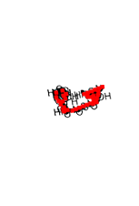 CC/N=c1/cc2oc3cc(NCC)c(C)cc3c(-c3cc(C(=O)NCCSSCCC(=O)NCC#Cc4cn(C5C[C@H](OCN=[N+]=[N-])[C@@H](COP(=O)(O)OP(=O)(O)OP(=O)(O)O)O5)c(=O)[nH]c4=O)ccc3C(=O)O)c-2cc1C